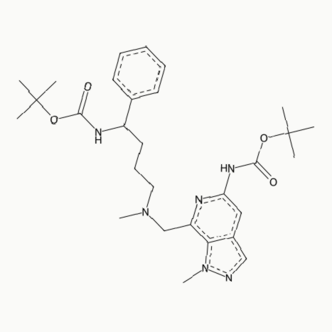 CN(CCCC(NC(=O)OC(C)(C)C)c1ccccc1)Cc1nc(NC(=O)OC(C)(C)C)cc2cnn(C)c12